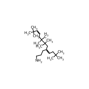 CC(C)(C)/C=C\CC(C)(C)C(C)(C)C/C(=C\CC(C)(C)C)CCCN